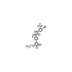 CCOc1cc(-c2ccc(NC(=O)Nc3ccc(C#N)c(C(F)(F)F)c3)c(F)c2)c[nH]c1=O